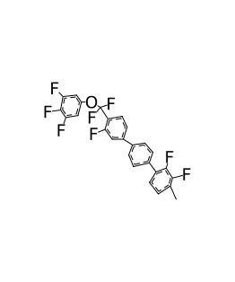 Cc1ccc(-c2ccc(-c3ccc(C(F)(F)Oc4cc(F)c(F)c(F)c4)c(F)c3)cc2)c(F)c1F